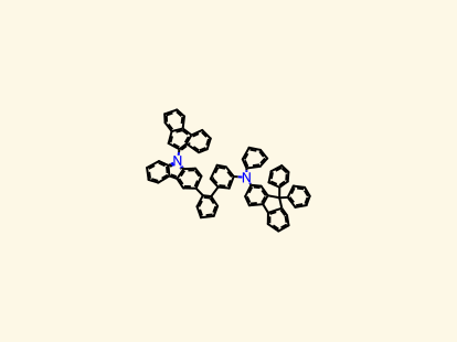 c1ccc(N(c2cccc(-c3ccccc3-c3ccc4c(c3)c3ccccc3n4-c3cc4ccccc4c4ccccc34)c2)c2ccc3c(c2)C(c2ccccc2)(c2ccccc2)c2ccccc2-3)cc1